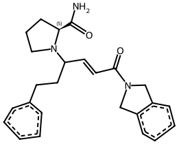 NC(=O)[C@@H]1CCCN1C(C=CC(=O)N1Cc2ccccc2C1)CCc1ccccc1